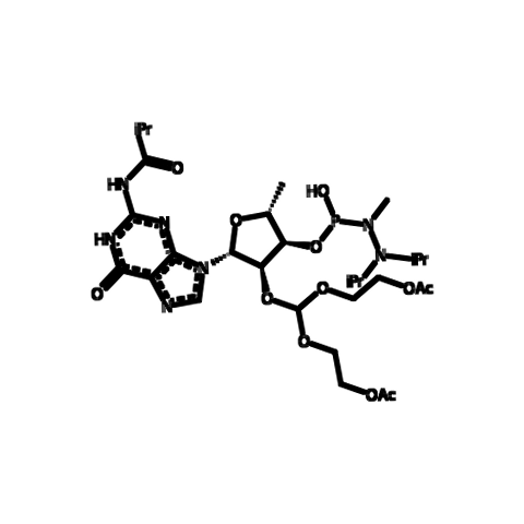 CC(=O)OCCOC(OCCOC(C)=O)O[C@@H]1[C@H](OP(O)N(C)N(C(C)C)C(C)C)[C@@H](C)O[C@H]1n1cnc2c(=O)[nH]c(NC(=O)C(C)C)nc21